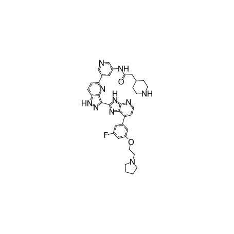 O=C(CC1CCNCC1)Nc1cncc(-c2ccc3[nH]nc(-c4nc5c(-c6cc(F)cc(OCCN7CCCC7)c6)ccnc5[nH]4)c3n2)c1